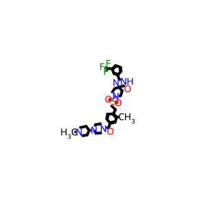 Cc1cc(C(=O)N2CCN(C3CCN(C)CC3)CC2)ccc1CCS(=O)(=O)N1CCC2(CC1)N=C(c1cccc(C(F)(F)F)c1)NC2=O